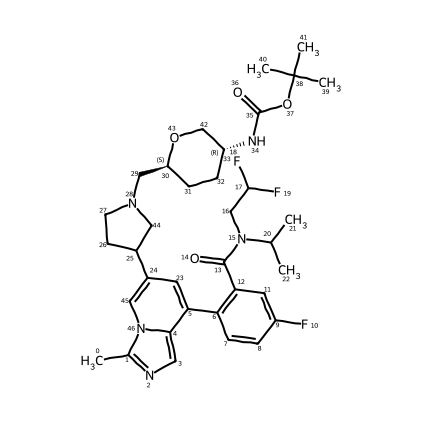 Cc1ncc2c(-c3ccc(F)cc3C(=O)N(CC(F)F)C(C)C)cc(C3CCN(C[C@@H]4CC[C@@H](NC(=O)OC(C)(C)C)CO4)C3)cn12